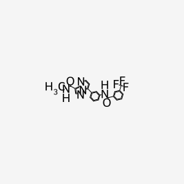 CNC(=O)c1cnn2c(-c3cccc(NC(=O)c4cccc(C(F)(F)F)c4)c3)ccnc12